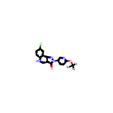 [2H]C([2H])([2H])Oc1ccc(-n2nc3c4cc(Cl)ccc4[nH]cc-3c2=O)cn1